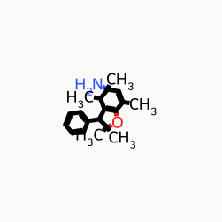 CC1=CC(C)(N)C(C)C2=C1OC(C)(C)C2c1ccccc1